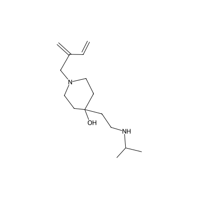 C=CC(=C)CN1CCC(O)(CCNC(C)C)CC1